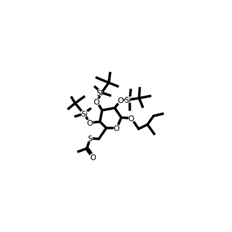 CCC(C)COC1OC(CSC(C)=O)C(O[Si](C)(C)C(C)(C)C)C(O[Si](C)(C)C(C)(C)C)C1O[Si](C)(C)C(C)(C)C